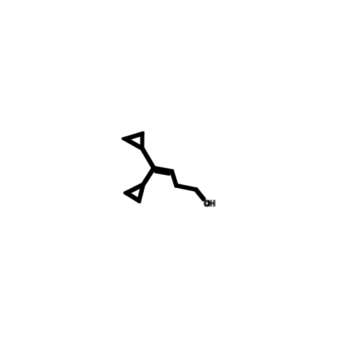 OCCC=C(C1CC1)C1CC1